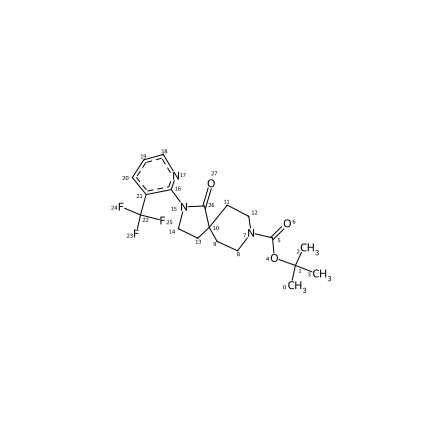 CC(C)(C)OC(=O)N1CCC2(CC1)CCN(c1ncccc1C(F)(F)F)C2=O